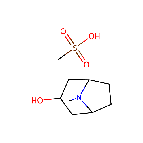 CN1C2CCC1CC(O)C2.CS(=O)(=O)O